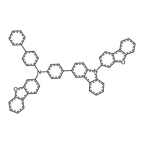 c1ccc(-c2ccc(N(c3ccc(-c4ccc5c(c4)c4ccccc4n5-c4ccc5c(c4)oc4ccccc45)cc3)c3ccc4c(c3)oc3ccccc34)cc2)cc1